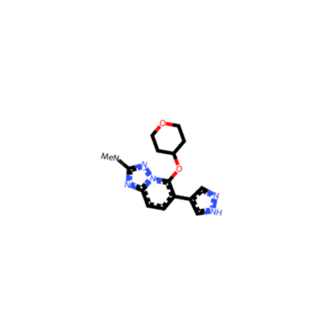 CNc1nc2ccc(-c3cn[nH]c3)c(OC3CCOCC3)n2n1